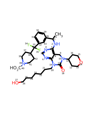 CC(Nc1ncnc2c1CN(C1CCOCC1)C(=O)N2CCCCCCCO)c1cccc(C(F)(F)C2CCN(C(=O)O)CC2)c1